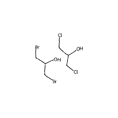 OC(CBr)CBr.OC(CCl)CCl